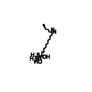 B[C@](N)(CO)[C@H](O)/C=C/CCCCCCCCC1(CCCC#C)N=N1